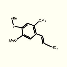 CCCCSc1cc(OC)c(/C=C/[N+](=O)[O-])cc1OC